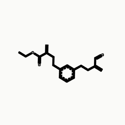 C=C(C=O)CCc1cccc(CCC(=C)C(=O)OCC)c1